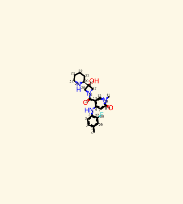 Cc1ccc(Nc2cc(=O)n(C)cc2C(=O)N2CC(O)([C@@H]3CCCCN3)C2)c(F)c1